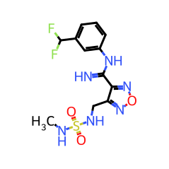 CNS(=O)(=O)NCc1nonc1C(=N)Nc1cccc(C(F)F)c1